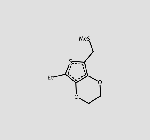 CCc1sc(CSC)c2c1OCCO2